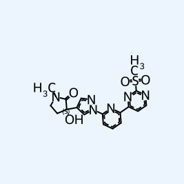 CN1CC[C@](O)(c2cnn(-c3cccc(-c4ccnc(S(C)(=O)=O)n4)n3)c2)C1=O